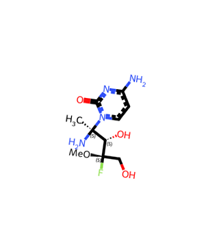 CO[C@](F)(CO)[C@@H](O)[C@@](C)(N)n1ccc(N)nc1=O